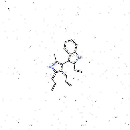 C=C/C=c1/c(-c2c(C=C)[nH]c3ccccc23)c(C)[nH]/c1=C/C=C